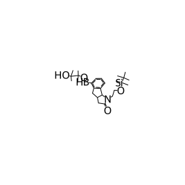 CC(C)(O)C(C)(C)OBc1cccc2c1CC1CC(=O)N(CCO[Si](C)(C)C(C)(C)C)C21